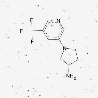 N[C@H]1CCN(c2cncc(C(F)(F)F)c2)C1